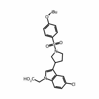 CC[C@H](C)Oc1ccc(S(=O)(=O)N2CCC(c3cn(CC(=O)O)c4ccc(Cl)cc34)C2)cc1